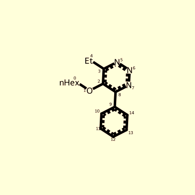 CCCCCCOc1c(CC)nnnc1-c1ccccc1